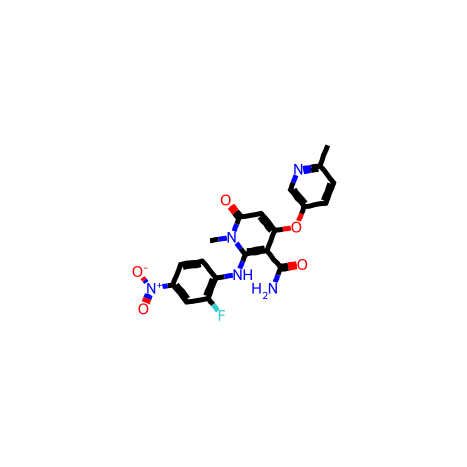 Cc1ccc(Oc2cc(=O)n(C)c(Nc3ccc([N+](=O)[O-])cc3F)c2C(N)=O)cn1